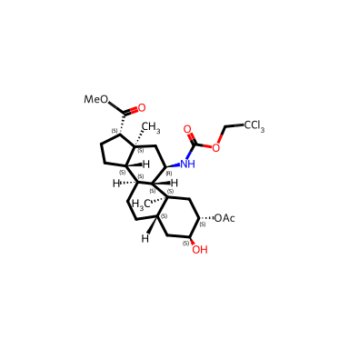 COC(=O)[C@H]1CC[C@H]2[C@@H]3CC[C@H]4C[C@H](O)[C@@H](OC(C)=O)C[C@]4(C)[C@H]3[C@H](NC(=O)OCC(Cl)(Cl)Cl)C[C@]12C